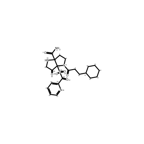 NC(=O)C12CCN(C(=O)[CH]CC3CCCCC3)C1(S(=O)(=O)C(=O)c1ccccn1)C(=O)CN2